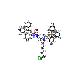 O=C(CSC(c1ccccc1)(c1ccccc1)c1ccccc1)NCCN(CCCCCCCBr)CCSC(c1ccccc1)(c1ccccc1)c1ccccc1